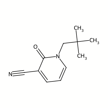 CC(C)(C)Cn1cccc(C#N)c1=O